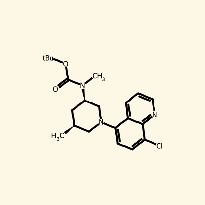 C[C@H]1C[C@@H](N(C)C(=O)OC(C)(C)C)CN(c2ccc(Cl)c3ncccc23)C1